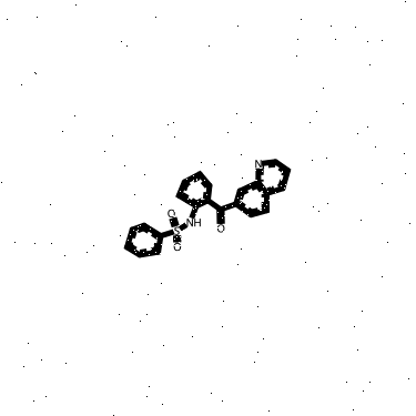 O=C(c1ccc2cccnc2c1)c1ccccc1NS(=O)(=O)c1ccccc1